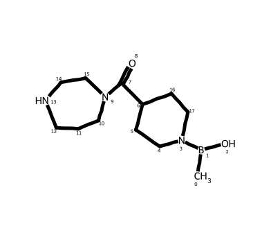 CB(O)N1CCC(C(=O)N2CCCNCC2)CC1